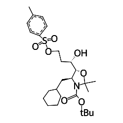 Cc1ccc(S(=O)(=O)OCC[C@H](O)[C@@H]2OC(C)(C)N(C(=O)OC(C)(C)C)[C@H]2CC2CCCCC2)cc1